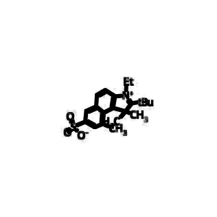 CC[N+]1=C(C(C)(C)C)C(C)(C)c2c1ccc1cc(S(=O)(=O)[O-])cc(C)c21